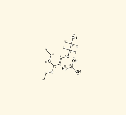 CCOC(C=COC(C)(C)C(C)(C)O)OCC.OB(O)O